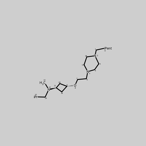 CCCC(C)CN1CCN(CCO[C@H]2C[C@H](N(C)CC(C)C)C2)CC1